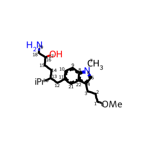 COCCCc1cn(C)c2ccc(CC(CCC(O)CN)C(C)C)cc12